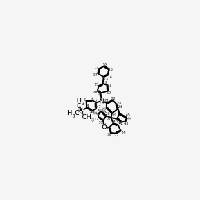 CS(C)(C)c1ccc(N(c2ccc(-c3ccccc3)cc2)c2ccc3c(c2)C2(c4ccccc4Oc4ccccc42)c2ccccc2-3)cc1